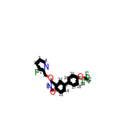 Fc1cccnc1COc1noc2ccc(-c3ccc(OC(F)(F)F)cc3)cc12